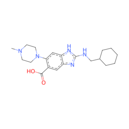 CN1CCN(c2cc3[nH]c(NCC4CCCCC4)nc3cc2C(=O)O)CC1